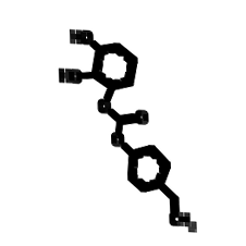 C=Cc1ccc(OC(=O)Oc2cccc(O)c2O)cc1